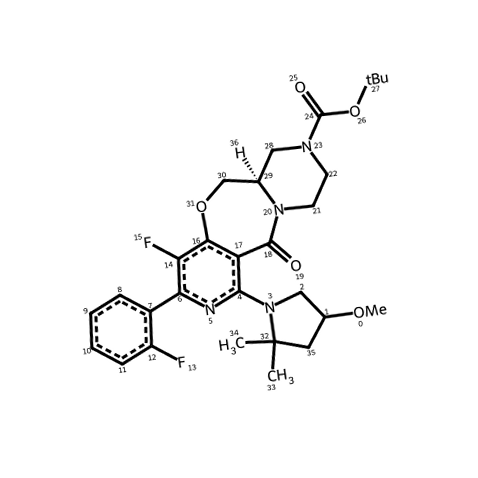 COC1CN(c2nc(-c3ccccc3F)c(F)c3c2C(=O)N2CCN(C(=O)OC(C)(C)C)C[C@@H]2CO3)C(C)(C)C1